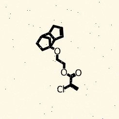 C=C(Cl)C(=O)OCCOC12CCC(C1)C1CC=CC12